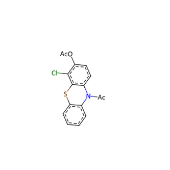 CC(=O)Oc1ccc2c(c1Cl)Sc1ccccc1N2C(C)=O